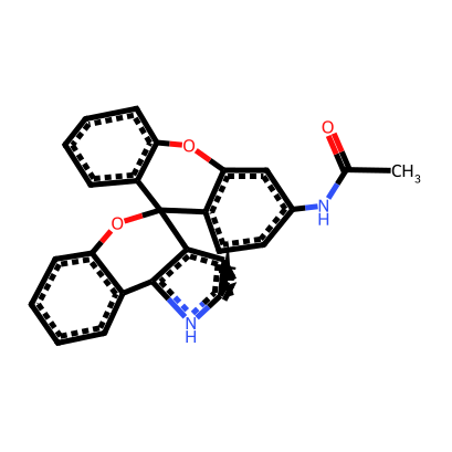 CC(=O)Nc1ccc2c(c1)Oc1ccccc1C21Oc2ccccc2-c2[nH]c3ccccc3c21